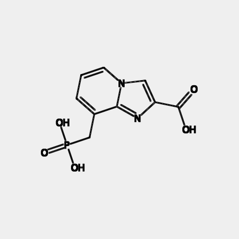 O=C(O)c1cn2cccc(CP(=O)(O)O)c2n1